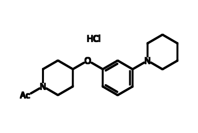 CC(=O)N1CCC(Oc2cccc(N3CCCCC3)c2)CC1.Cl